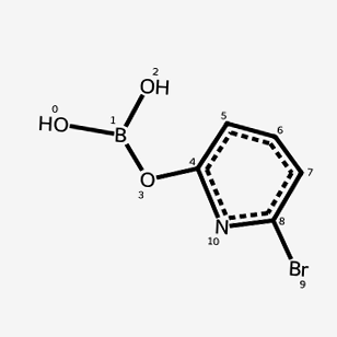 OB(O)Oc1cccc(Br)n1